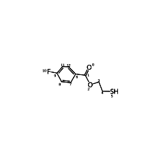 O=C(OCCS)c1ccc(F)cc1